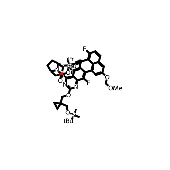 COCOc1cc(-c2c(F)cc3c(N4CC5CCC(C4)N5C(=O)OC(C)(C)C)nc(OCC4(CO[Si](C)(C)C(C)(C)C)CC4)nc3c2F)c2c(C#C[Si](C(C)C)(C(C)C)C(C)C)c(F)ccc2c1